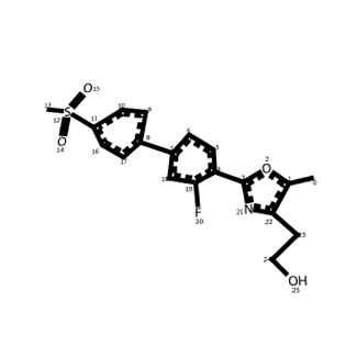 Cc1oc(-c2ccc(-c3ccc(S(C)(=O)=O)cc3)cc2F)nc1CCO